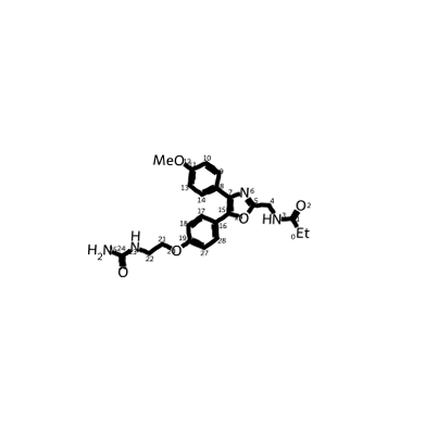 CCC(=O)NCc1nc(-c2ccc(OC)cc2)c(-c2ccc(OCCNC(N)=O)cc2)o1